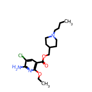 CCCCN1CCC(COC(=O)c2cc(Cl)c(N)nc2OCC)CC1